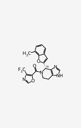 Cc1cccc2cc([C@@H]3c4nc[nH]c4CCN3C(=O)c3ocnc3C(F)(F)F)oc12